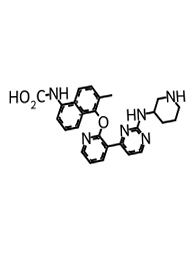 Cc1ccc2c(NC(=O)O)cccc2c1Oc1ncccc1-c1ccnc(NC2CCCNC2)n1